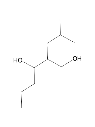 CCCC(O)C(CO)CC(C)C